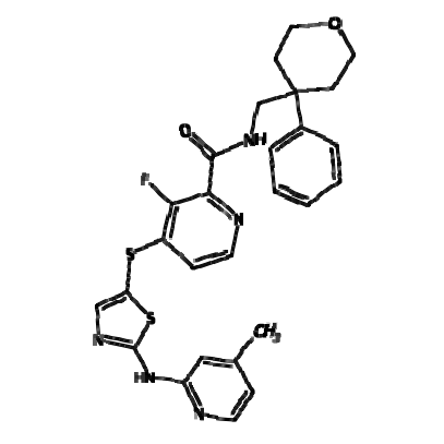 Cc1ccnc(Nc2ncc(Sc3ccnc(C(=O)NCC4(c5ccccc5)CCOCC4)c3F)s2)c1